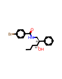 CCC[C@@H](O)[C@@H](CNC(=O)c1ccc(Br)cc1)c1ccccc1